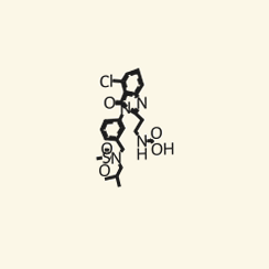 CC(C)CN(Cc1cccc(-n2c(CCNC(=O)O)nc3cccc(Cl)c3c2=O)c1)S(C)(=O)=O